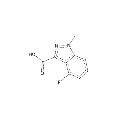 Cn1nc(C(=O)O)c2c(F)cccc21